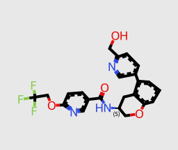 O=C(N[C@@H]1COc2cccc(-c3ccc(CO)nc3)c2C1)c1ccc(OCC(F)(F)F)nc1